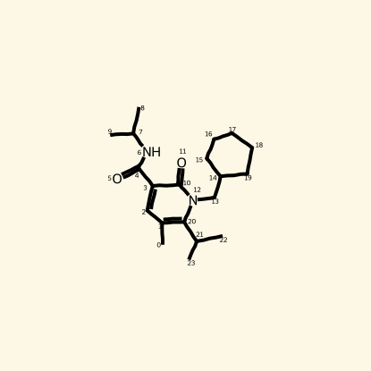 Cc1cc(C(=O)NC(C)C)c(=O)n(CC2CCCCC2)c1C(C)C